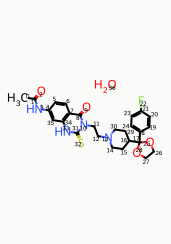 CC(=O)Nc1ccc2c(=O)n(CCN3CCC(C4(c5ccc(F)cc5)OCCO4)CC3)c(=S)[nH]c2c1.O